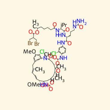 COc1cc2cc(c1Cl)N(C)C(=O)C[C@H](OC(=O)Nc1ccc(NC(=O)[C@H](CCCNC(N)=O)NC(=O)[C@@H](NC(=O)CCCCC(C)OC(=O)C(CBr)CBr)C(C)C)cc1Cl)[C@]1(C)O[C@H]1[C@H](C)[C@@H]1C[C@@](O)(NC(=O)O1)[C@H](OC)/C=C/C=C(\C)C2